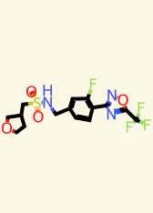 O=S(=O)(CC1CCOC1)NCc1ccc(-c2noc(C(F)(F)F)n2)c(F)c1